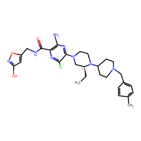 CC[C@H]1CN(c2nc(N)c(C(=O)NCc3cc(O)no3)nc2Cl)CCN1C1CCN(Cc2ccc(C)cc2)CC1